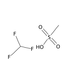 CS(=O)(=O)O.FC(F)F